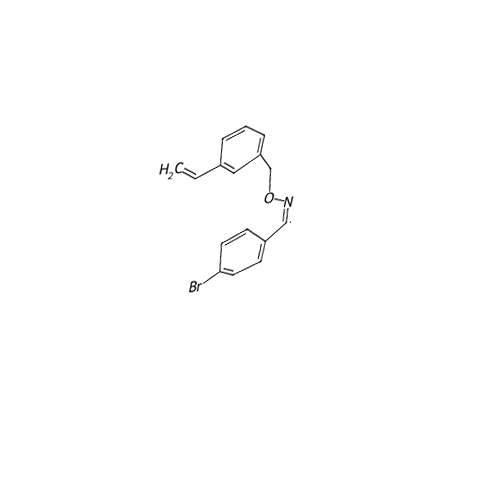 C=Cc1cccc(CO/N=[C]\c2ccc(Br)cc2)c1